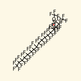 FC(F)(F)O[Si](OC(F)(F)F)(OC(F)(F)F)C(F)(F)C(F)(F)C(F)(F)C(F)(F)C(F)(F)C(F)(F)C(F)(F)C(F)(F)C(F)(F)C(F)(F)C(F)(F)C(F)(F)C(F)(F)C(F)(F)C(F)(F)C(F)(F)F